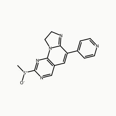 C[S+]([O-])c1ncc2c(n1)N1CCN=C1C(c1ccncc1)=C2